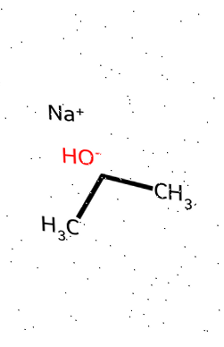 CCC.[Na+].[OH-]